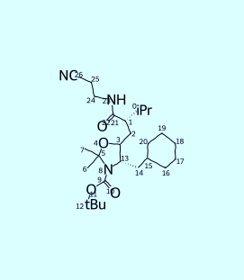 CC(C)[C@H](CC1OC(C)(C)N(C(=O)OC(C)(C)C)[C@H]1CC1CCCCC1)C(=O)NCCC#N